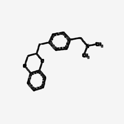 CN(C)Cc1ccc(CC2COc3ccccc3O2)cc1